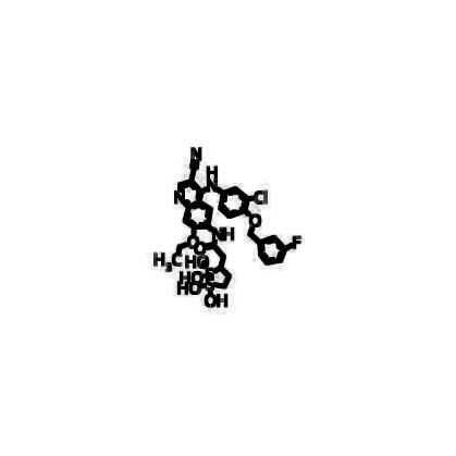 CCOc1cc2ncc(C#N)c(Nc3ccc(OCc4cccc(F)c4)c(Cl)c3)c2cc1NC(=O)CC1CCS(O)(O)S1(O)O